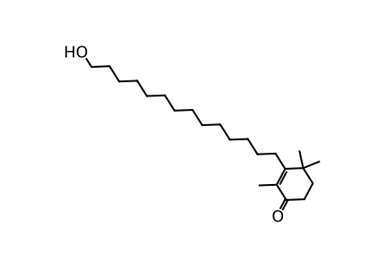 CC1=C(CCCCCCCCCCCCCCO)C(C)(C)CCC1=O